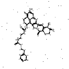 Bc1cc2nc3c(c4c2c(c1C)CCC4NC(=O)CCCNC(=C)CCCc1ccccc1)CN1C(=C)C2=C(C=C31)C(CC)C(=O)CC2